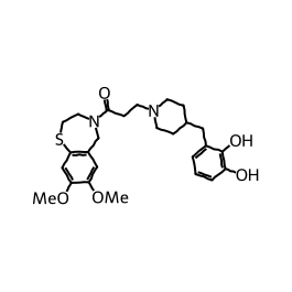 COc1cc2c(cc1OC)SCCN(C(=O)CCN1CCC(Cc3cccc(O)c3O)CC1)C2